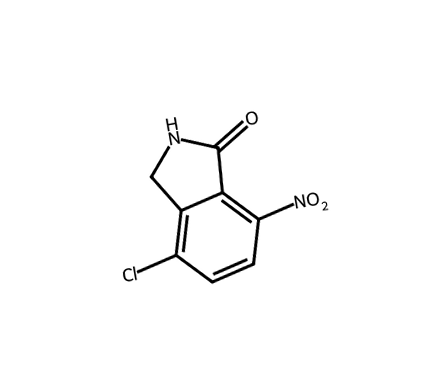 O=C1NCc2c(Cl)ccc([N+](=O)[O-])c21